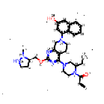 C=CC(=O)N1CCN(c2nc(OC[C@H]3CCNN3C)nc3c2CCN(c2cc(O)cc4ccccc24)C3)CC1CC#N